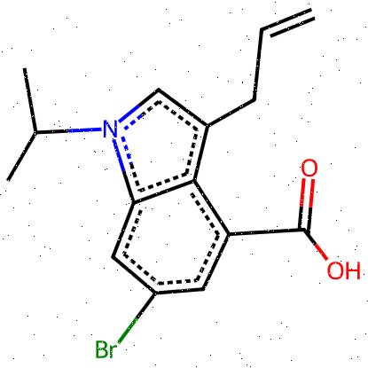 C=CCc1cn(C(C)C)c2cc(Br)cc(C(=O)O)c12